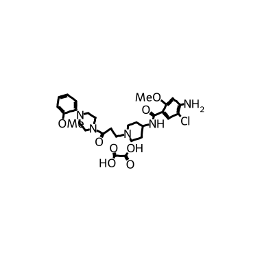 COc1cc(N)c(Cl)cc1C(=O)NC1CCN(CCC(=O)N2CCN(c3ccccc3OC)CC2)CC1.O=C(O)C(=O)O